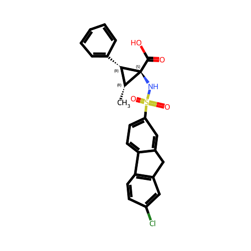 C[C@@H]1[C@H](c2ccccc2)[C@]1(NS(=O)(=O)c1ccc2c(c1)Cc1cc(Cl)ccc1-2)C(=O)O